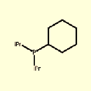 CC(C)P(C(C)C)C1CCCCC1